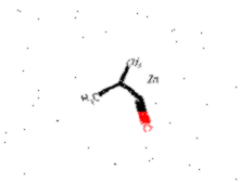 CC(C)C=O.[Zn]